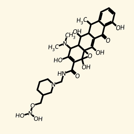 CC1c2cccc(O)c2C(=O)C2=C(O)C34OC3(O)C(C(=O)NCN3CCCC(CON(O)O)C3)=C(O)C(N(C)C)C4C(O)C21